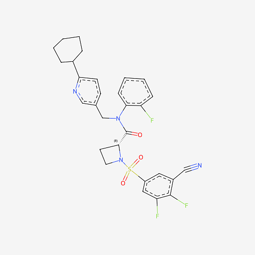 N#Cc1cc(S(=O)(=O)N2CC[C@@H]2C(=O)N(Cc2ccc(C3CCCCC3)nc2)c2ccccc2F)cc(F)c1F